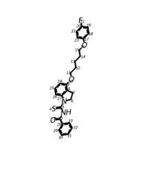 O=C(NC(=S)N1CCc2c(OCCCCCOc3ccc(F)cc3)cccc21)c1ccccc1